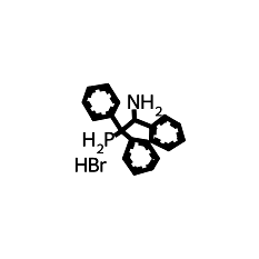 Br.NC(c1ccccc1)C(P)(c1ccccc1)c1ccccc1